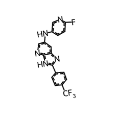 Fc1ccc(Nc2cnc3[nH]c(-c4ccc(C(F)(F)F)cc4)nc3c2)cn1